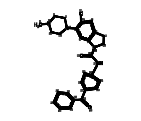 CN1CCN(c2cc3c(cc2Cl)CCN3C(=O)Nc2ccc(C(=O)c3ccccc3)cc2)CC1